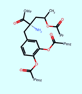 CCCC(C)C(=O)Oc1ccc(C[C@](N)(CC(C)OC(=O)C(C)C)C(=O)OC)cc1OC(=O)C(C)CCC